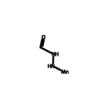 O=CN[NH][Mn]